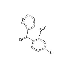 CSc1cc(F)ccc1C(=O)c1ccccc1